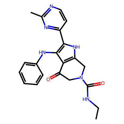 CCNC(=O)N1CC(=O)c2c([nH]c(-c3ccnc(C)n3)c2Nc2ccccc2)C1